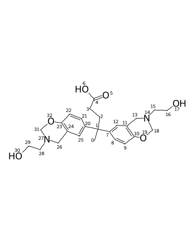 CC(CCC(=O)O)(c1ccc2c(c1)CN(CCO)CO2)c1ccc2c(c1)CN(CCO)CO2